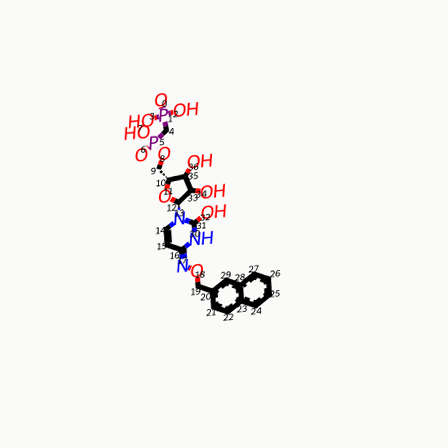 O=P(O)(O)CP(=O)(O)OC[C@H]1O[C@@H](N2C=C/C(=N/OCc3ccc4ccccc4c3)NC2O)C(O)C1O